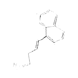 C=CCC=Cc1cccc2ccccc12